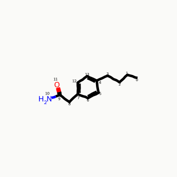 CCCCc1ccc(CC(N)=O)cc1